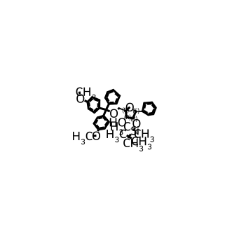 COc1ccc(C(OC[C@H]2O[C@@H](c3ccccc3)[C@H](O[Si](C)(C)C(C)(C)C)[C@@H]2O)(c2ccccc2)c2ccc(OC)cc2)cc1